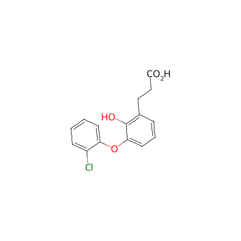 O=C(O)CCc1cccc(Oc2ccccc2Cl)c1O